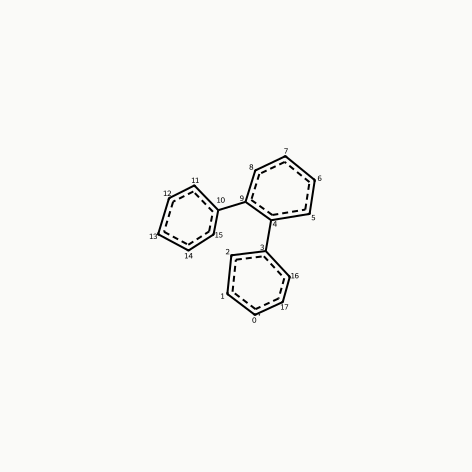 [c]1ccc(-c2ccccc2-c2ccccc2)cc1